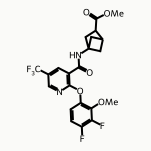 COC(=O)C1CC2(NC(=O)c3cc(C(F)(F)F)cnc3Oc3ccc(F)c(F)c3OC)CC1C2